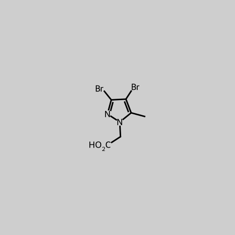 Cc1c(Br)c(Br)nn1CC(=O)O